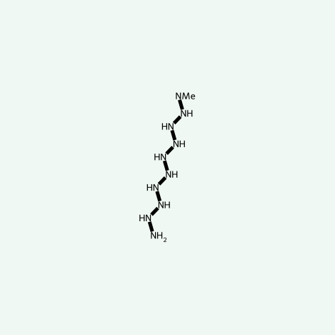 CNNNNNNNNNN